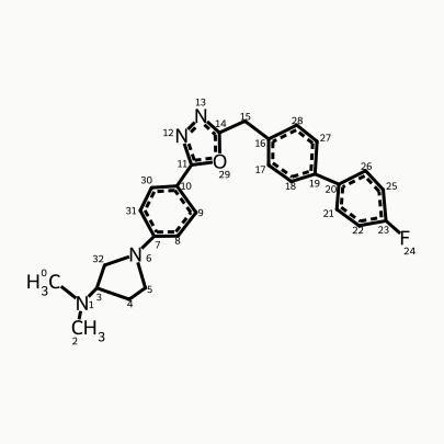 CN(C)C1CCN(c2ccc(-c3nnc(Cc4ccc(-c5ccc(F)cc5)cc4)o3)cc2)C1